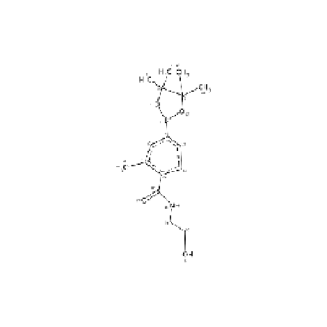 Cc1cc(B2OC(C)(C)C(C)(C)O2)ccc1C(=O)NCCO